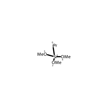 [CH2]C(C)[Si](OC)(OC)OC